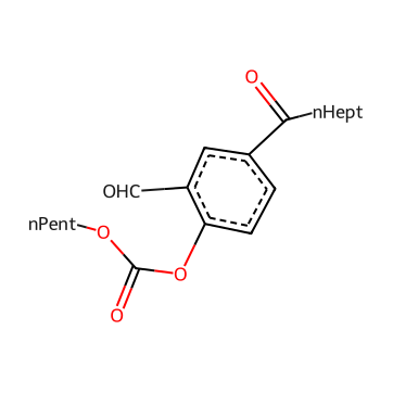 CCCCCCCC(=O)c1ccc(OC(=O)OCCCCC)c(C=O)c1